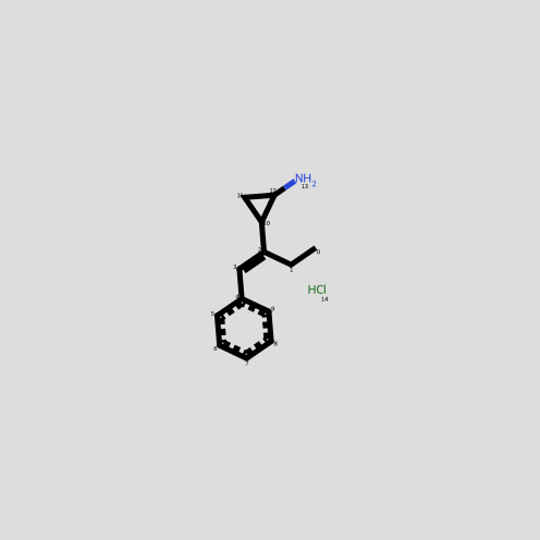 CC/C(=C\c1ccccc1)C1CC1N.Cl